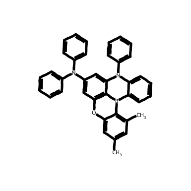 Cc1cc(C)c2c(c1)Oc1cc(N(c3ccccc3)c3ccccc3)cc3c1B2c1ccccc1N3c1ccccc1